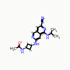 CC(=O)N[C@H]1C[C@@H](Nc2cc3c(NC(C)C)nc(C#N)cc3cn2)C1